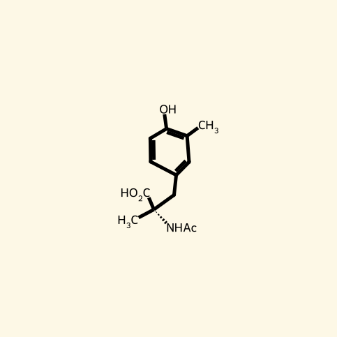 CC(=O)N[C@@](C)(Cc1ccc(O)c(C)c1)C(=O)O